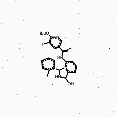 Cc1ccccc1C1NC(O)c2cccc(NC(=O)c3cnc(OCC(C)C)c(F)c3)c21